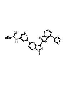 CCCCC(O)Nc1cncc(-c2ccc3[nH]nc(-c4nc5c(-c6ccoc6)nccc5[nH]4)c3c2)c1